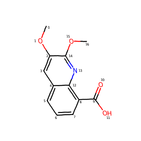 COc1cc2cccc(C(=O)O)c2nc1OC